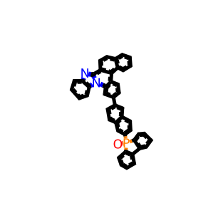 O=P1(c2ccc3cc(-c4ccc5c6c7ccccc7ccc6c6nc7ccccc7n6c5c4)ccc3c2)c2ccccc2-c2ccccc21